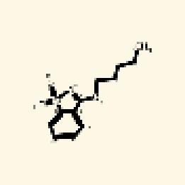 CCCCCOC1=NS(=O)(=O)c2ccccc21